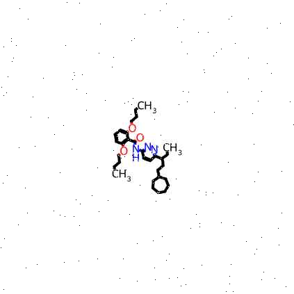 CCCCOc1cccc(OCCCC)c1C(=O)Nc1ccc(C(CC)CCC2CCCCCC2)nn1